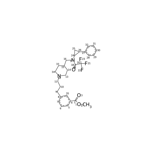 COC(=O)c1cccc(CCCN2CCC(CN(C(=O)C(F)(F)F)C3CC3c3ccccc3)CC2)c1